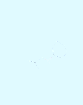 CC(C)CP(Cl)C1CCCCC1